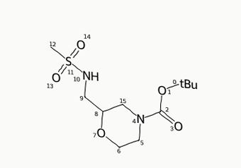 CC(C)(C)OC(=O)N1CCOC(CNS(C)(=O)=O)C1